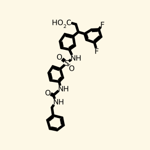 O=C(O)CC(c1cc(F)cc(F)c1)c1cccc(NS(=O)(=O)c2cccc(NC(=O)NCc3ccccc3)c2)c1